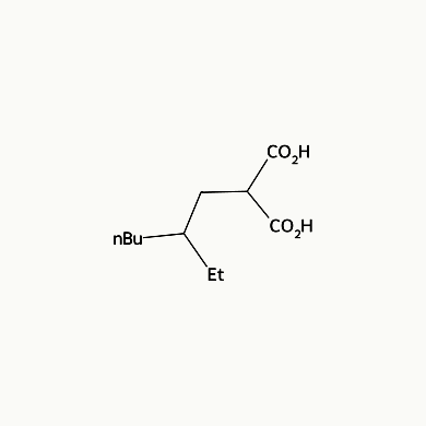 CCCCC(CC)CC(C(=O)O)C(=O)O